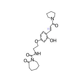 O=C(/C=C/c1ccc(OCCNC(=O)N2CCCCCC2=O)cc1O)N1CCCCC1